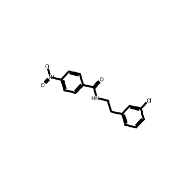 O=C(NCCc1cccc(Cl)c1)c1ccc([N+](=O)[O-])cc1